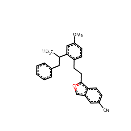 COc1ccc(CCc2occ3cc(C#N)ccc23)c(C(Cc2ccccc2)C(=O)O)c1